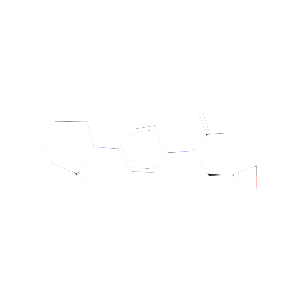 CC(=O)N(C[C@H]1CO1)c1ccc(N2CCOCC2=O)cc1